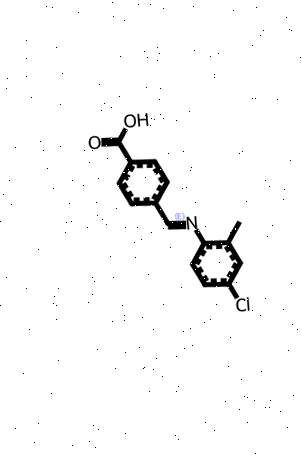 Cc1cc(Cl)ccc1/N=C/c1ccc(C(=O)O)cc1